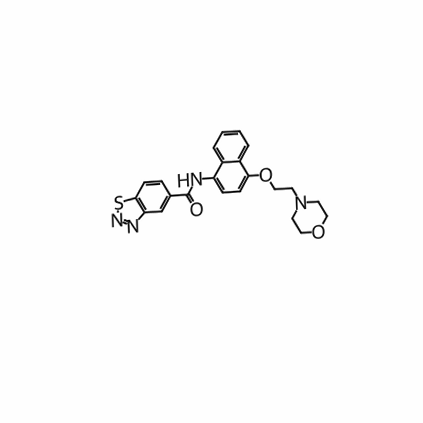 O=C(Nc1ccc(OCCN2CCOCC2)c2ccccc12)c1ccc2snnc2c1